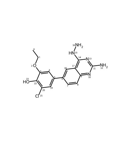 CCOc1cc(-c2ccc3nc(N)nc(NN)c3c2)cc(Cl)c1O